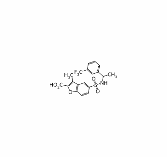 Cc1c(C(=O)O)oc2ccc(S(=O)(=O)NC(C)c3cccc(C(F)(F)F)c3)cc12